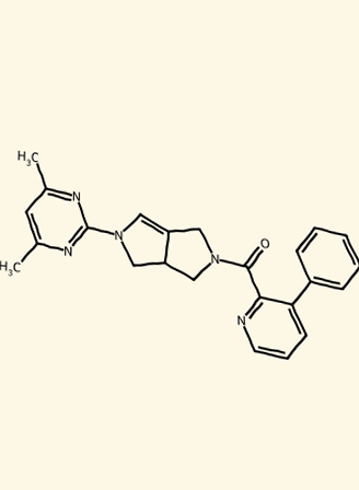 Cc1cc(C)nc(N2C=C3CN(C(=O)c4ncccc4-c4ccccc4)CC3C2)n1